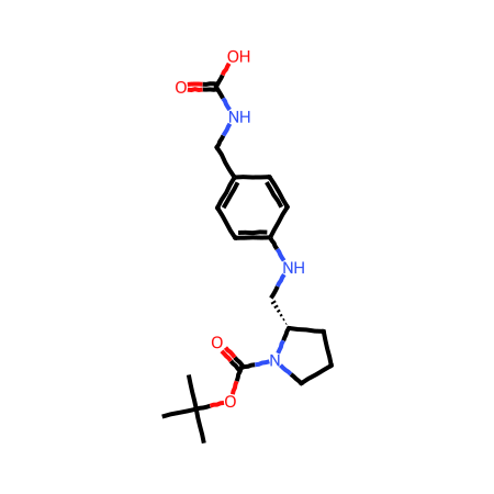 CC(C)(C)OC(=O)N1CCC[C@H]1CNc1ccc(CNC(=O)O)cc1